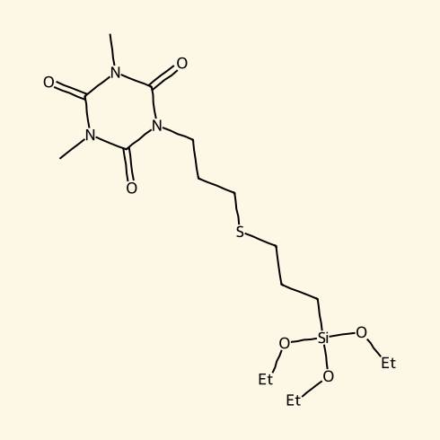 CCO[Si](CCCSCCCn1c(=O)n(C)c(=O)n(C)c1=O)(OCC)OCC